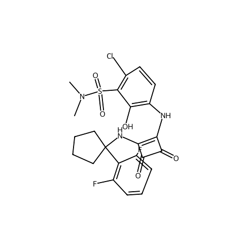 CN(C)S(=O)(=O)c1c(Cl)ccc(Nc2c(NC3(c4c(F)cccc4F)CCCC3)c(=O)c2=O)c1O